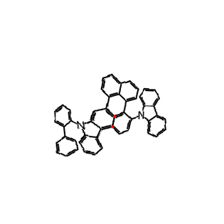 c1ccc(-c2ccccc2-n2c3ccccc3c3ccc(-c4cccc5cccc(-c6ccccc6-n6c7ccccc7c7ccccc76)c45)cc32)cc1